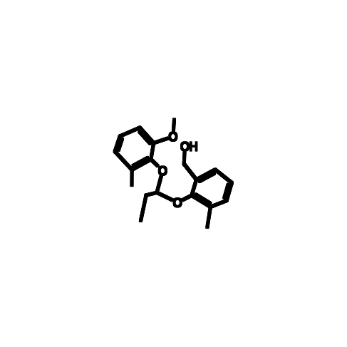 CCC(Oc1c(C)cccc1CO)Oc1c(C)cccc1OC